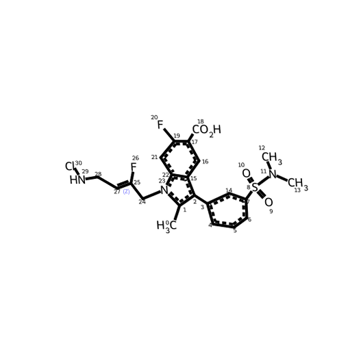 Cc1c(-c2cccc(S(=O)(=O)N(C)C)c2)c2cc(C(=O)O)c(F)cc2n1C/C(F)=C/CNCl